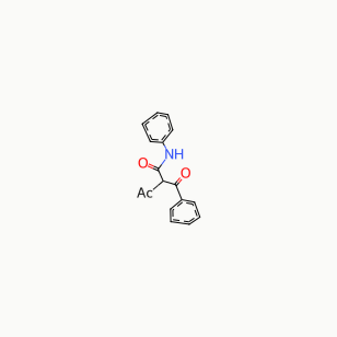 CC(=O)C(C(=O)Nc1ccccc1)C(=O)c1ccccc1